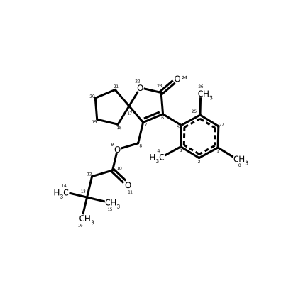 Cc1cc(C)c(C2=C(COC(=O)CC(C)(C)C)C3(CCCC3)OC2=O)c(C)c1